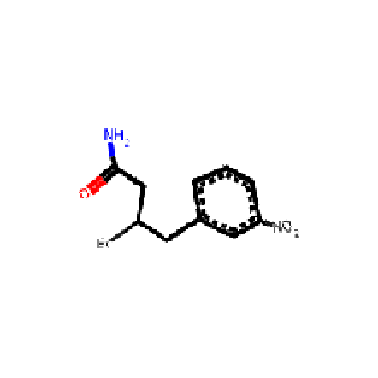 CCC(CC(N)=O)Cc1cccc([N+](=O)[O-])c1